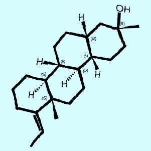 CC=C1CCC[C@H]2[C@@H]3CC[C@@H]4C[C@](C)(O)CC[C@@H]4[C@H]3CC[C@]12C